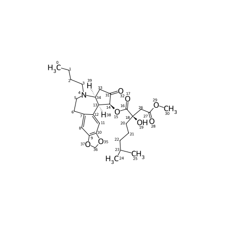 CCCCN1CCc2cc3c(cc2[C@@H]2[C@H](OC(=O)[C@@](O)(CCCC(C)C)CC(=O)OC)C(=O)C[C@@H]21)OCO3